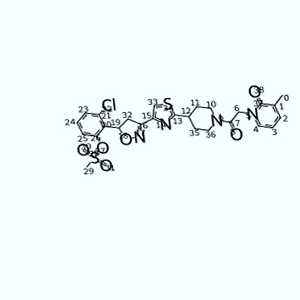 Cc1cccn(CC(=O)N2CCC(c3nc(C4=NOC(c5c(Cl)cccc5OS(C)(=O)=O)C4)cs3)CC2)c1=O